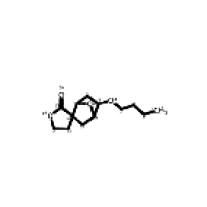 CCCCOC1CC2OC1CC21CCOC1=O